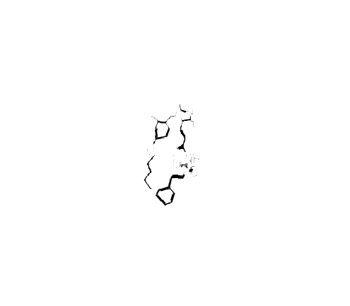 CCCCCOc1ccc(Cn2c(C)nc(Br)c2C=CC(=O)NS(=O)(=O)C=Cc2ccccc2)c(Cl)c1